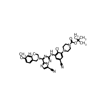 CCN(Cc1ccc(OC)cc1)c1nc(Nc2cc(C#N)cc(N3CCN(C(=O)OC(C)(C)C)CC3)c2Cl)nn2c(C#N)cnc12